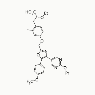 CCOC(Cc1ccc(OCc2nc(-c3cnc(OC(C)C)nc3)c(-c3ccc(OC(F)(F)F)cc3)o2)cc1C)C(=O)O